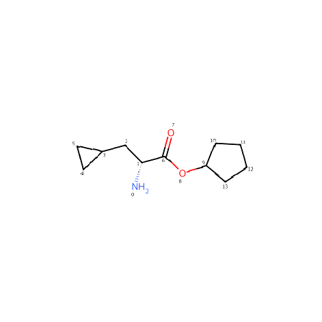 N[C@H](CC1CC1)C(=O)OC1CCCC1